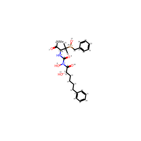 CNC(=O)[C@H](NC(=O)N(O)C(=O)[C@@H](O)CCCCc1ccccc1)C(C)(C)[S+]([O-])Cc1ccccc1